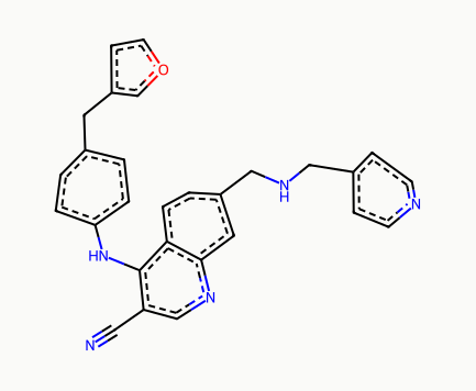 N#Cc1cnc2cc(CNCc3ccncc3)ccc2c1Nc1ccc(Cc2ccoc2)cc1